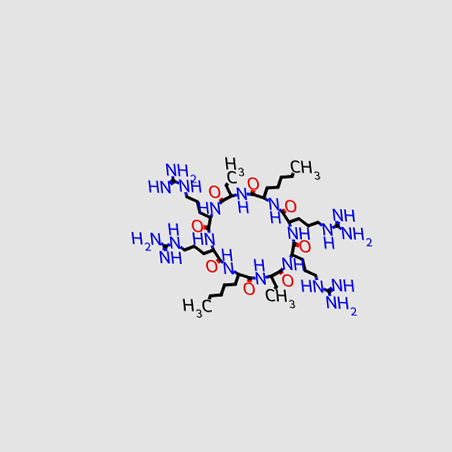 CCCCCC1NC(=O)C(CCCNC(=N)N)NC(=O)C(CCCNC(=N)N)NC(=O)C(CC)NC(=O)C(CCCCC)NC(=O)C(CCCNC(=N)N)NC(=O)C(CCCNC(=N)N)NC(=O)C(CC)NC1=O